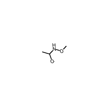 CONC(C)[O]